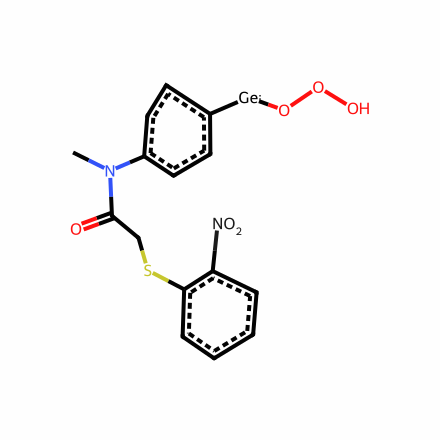 CN(C(=O)CSc1ccccc1[N+](=O)[O-])c1cc[c]([Ge][O]OO)cc1